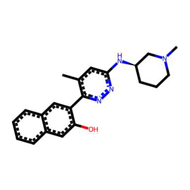 Cc1cc(N[C@@H]2CCCN(C)C2)nnc1-c1cc2ccccc2cc1O